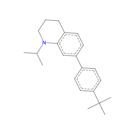 CC(C)N1CCCc2ccc(-c3ccc(C(C)(C)C)cc3)cc21